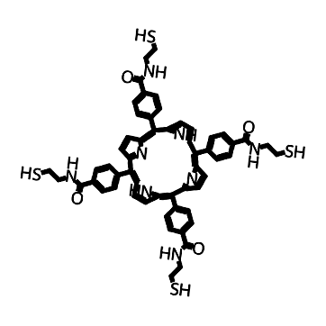 O=C(NCCS)c1ccc(-c2c3nc(c(-c4ccc(C(=O)NCCS)cc4)c4ccc([nH]4)c(-c4ccc(C(=O)NCCS)cc4)c4nc(c(-c5ccc(C(=O)NCCS)cc5)c5ccc2[nH]5)C=C4)C=C3)cc1